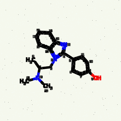 CC(Cn1c(-c2ccc(O)cc2)nc2ccccc21)N(C)C